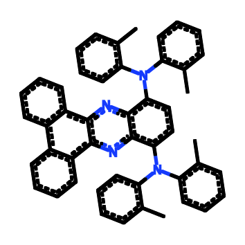 Cc1ccccc1N(c1ccccc1C)c1ccc(N(c2ccccc2C)c2ccccc2C)c2nc3c4ccccc4c4ccccc4c3nc12